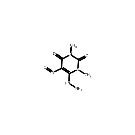 Cn1c(NN)c(N=O)c(=O)n(C)c1=O